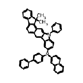 CC1(C)c2ccccc2-c2ccc3cc4c5cc(N(c6ccc(-c7ccccc7)cc6)c6ccc7ccccc7c6)ccc5n(-c5ccccc5)c4cc3c21